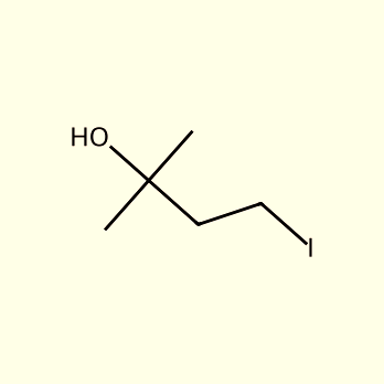 CC(C)(O)CCI